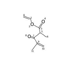 C=COC(=O)C(C)C(=O)C(=C)C